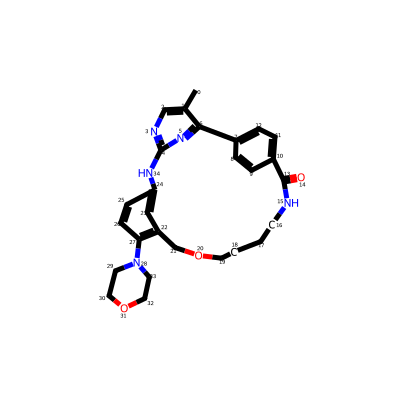 Cc1cnc2nc1-c1ccc(cc1)C(=O)NCCCCOCc1cc(ccc1N1CCOCC1)N2